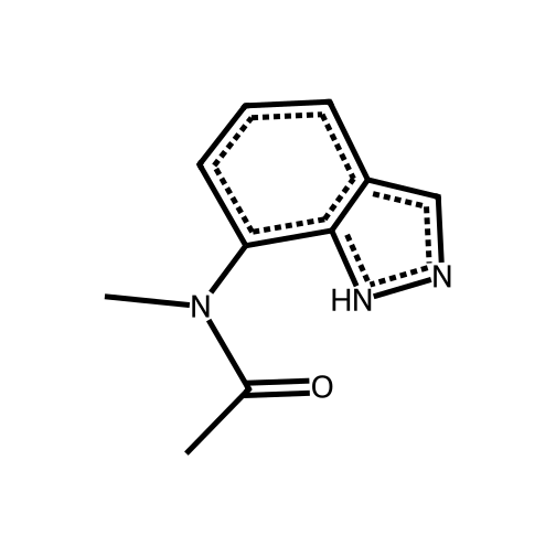 CC(=O)N(C)c1cccc2cn[nH]c12